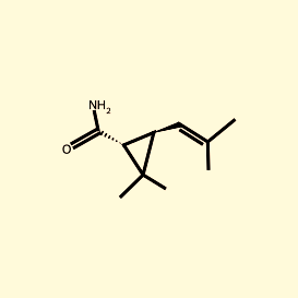 CC(C)=C[C@@H]1[C@@H](C(N)=O)C1(C)C